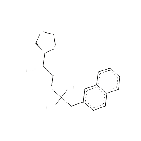 CC(C)(Cc1ccc2ccccc2c1)NC[C@H](O)[C@H]1CSCN1